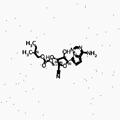 CC[C@H](C)COC(=O)OC[C@@]1(C#N)O[C@@H](c2ccc3c(N)ncnn23)[C@H](O)[C@@H]1O